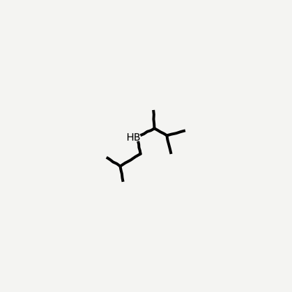 CC(C)CBC(C)C(C)C